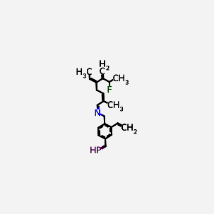 C=Cc1cc(C=P)ccc1C/N=C\C(C)=C/C/C(=C/C)C(=C)C(C)F